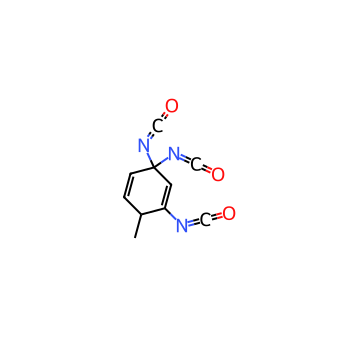 CC1C=CC(N=C=O)(N=C=O)C=C1N=C=O